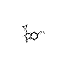 Nc1ccc2[nH]nc(C3CC3)c2c1